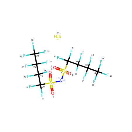 O=S(=O)(NS(=O)(=O)C(F)(F)C(F)(F)C(F)(F)C(F)(F)F)C(F)(F)C(F)(F)C(F)(F)C(F)(F)F.S